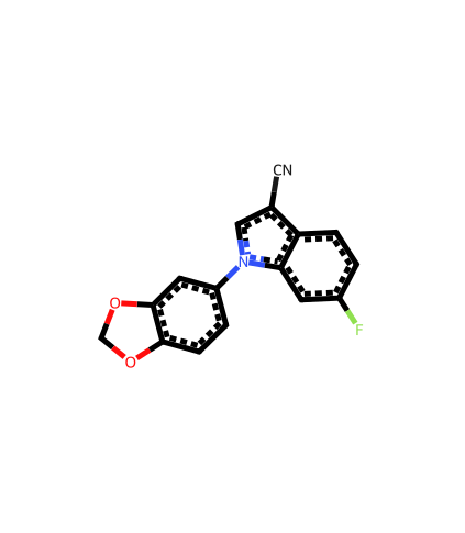 N#Cc1cn(-c2ccc3c(c2)OCO3)c2cc(F)ccc12